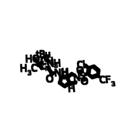 CC(C)(C)CC(C)(C)C[C@H](NC(=O)O)C(=O)N[C@H]1CC[C@@H]2CN(S(=O)(=O)c3cc(C(F)(F)F)ccc3Cl)C[C@@H]21